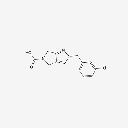 O=C(O)N1Cc2cn(Cc3cccc(Cl)c3)nc2C1